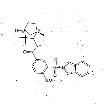 CNc1ccc(C(=O)NC2C(C)(C)[C@@H]3CC[C@@]2(C)C3)cc1S(=O)(=O)n1cc2ccccc2c1